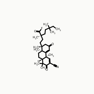 CCC(C)(C)CC[C@@](C)(CC[C@]1(C)CC(=O)C=C2[C@@]3(C)C=C(C#N)C(=O)C(C)(C)[C@@H]3CC[C@]21C)C(=O)F